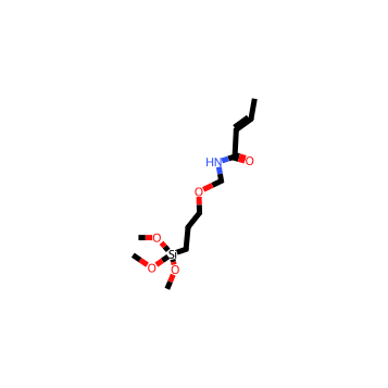 CC=CC(=O)NCOCCC[Si](OC)(OC)OC